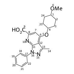 COC1CCC(Oc2cc(C(=O)O)nc3c2c(C)nn3-c2ccccc2)CC1